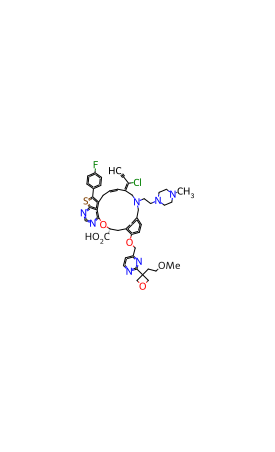 C#C/C(Cl)=C1\C=C/Cc2c(-c3ccc(F)cc3)sc3ncnc(c23)O[C@@H](C(=O)O)Cc2cc(ccc2OCc2ccnc(C3(CCOC)COC3)n2)CN(CCN2CCN(C)CC2)C1